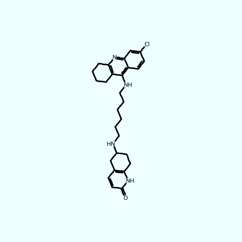 O=c1ccc2c([nH]1)CCC(NCCCCCCNc1c3c(nc4cc(Cl)ccc14)CCCC3)C2